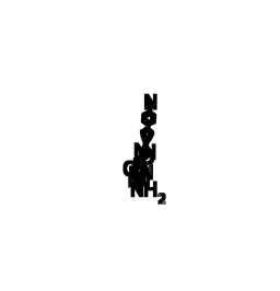 Cn1c(N)nc2ncn(Cc3nc(C4C5C=C(c6ccc(C#N)cc6)CC54)no3)c(=O)c21